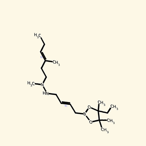 CC/C=C(\C)CCN(C)NC/C=C/CB1OC(C)(C)C(C)(CC)O1